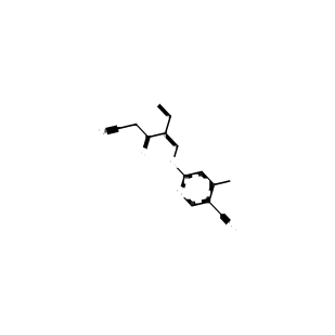 C=C/C(=C/Nc1cc(C)c(C#N)cn1)C(=N)CC#N